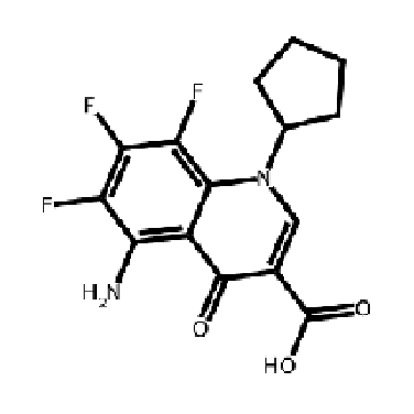 Nc1c(F)c(F)c(F)c2c1c(=O)c(C(=O)O)cn2C1CCCC1